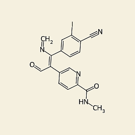 C=N/C(=C(\C=O)c1ccc(C(=O)NC)nc1)c1ccc(C#N)c(I)c1